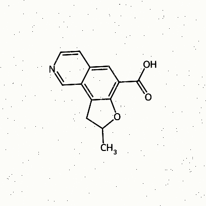 CC1Cc2c(c(C(=O)O)cc3ccncc23)O1